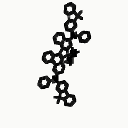 CC1(C)c2ccccc2-c2ccc(N(c3ccccc3)c3ccc4c5c(c6ccccc6c4c3)-c3c(cc(N(c4ccccc4)c4ccc6c(c4)C(C)(C)c4ccccc4-6)c4ccccc34)C5([Si](C)(C)C)[Si](C)(C)C)cc21